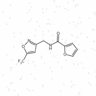 O=C(NCc1cc(C(F)(F)F)on1)c1ccco1